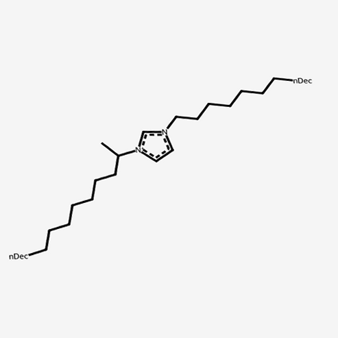 CCCCCCCCCCCCCCCCCC(C)[n+]1ccn(CCCCCCCCCCCCCCCCC)c1